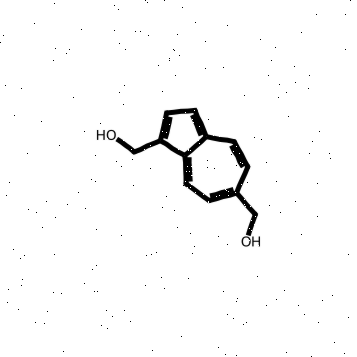 OCc1ccc2ccc(CO)c-2cc1